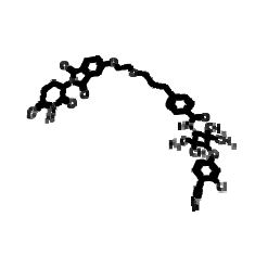 CC1(C)[C@H](NC(=O)c2ccc(CCCOCCOc3ccc4c(c3)C(=O)N(C3CCC(=O)NC3=O)C4=O)cc2)C(C)(C)[C@H]1Oc1ccc(C#N)c(Cl)c1